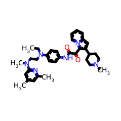 CCN(CCN(C)c1cc(C)cc(C)n1)c1ccc(NC(=O)C(=O)c2c(C3CCN(C)CC3)cc3ccccn23)cc1